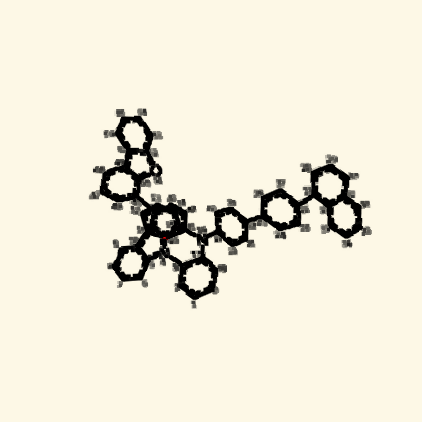 c1ccc(-n2c3ccccc3c3ccccc32)c(N(c2ccc(-c3ccc(-c4cccc5ccccc45)cc3)cc2)c2ccc(-c3cccc4c3oc3ccccc34)cc2)c1